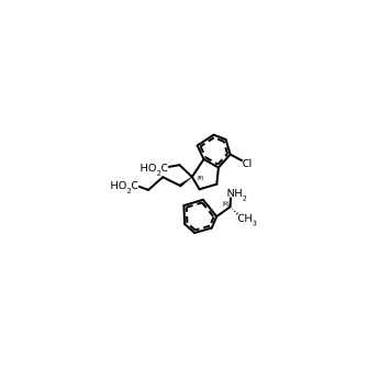 C[C@@H](N)c1ccccc1.O=C(O)CCC[C@]1(CC(=O)O)CCc2c(Cl)cccc21